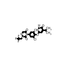 CC(C)c1cc(Oc2c(Cl)cc(-n3c(=O)cnn(CC(F)(F)F)c3=O)cc2Cl)n[nH]c1=O